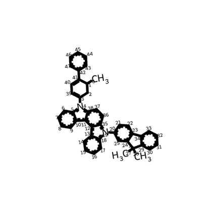 CC1CC(n2c3ccccc3c3c4c5ccccc5n(-c5ccc6c(c5)C(C)(C)c5ccccc5-6)c4ccc32)=CC=C1c1ccccc1